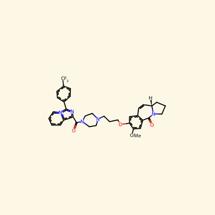 COc1cc2c(cc1OCCCN1CCN(C(=O)c3nc(-c4ccc(C(F)(F)F)cc4)n4ccccc34)CC1)C=C[C@@H]1CCCN1C2=O